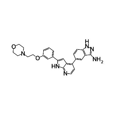 Nc1n[nH]c2ccc(-c3ccnc4[nH]c(-c5cccc(OCCN6CCOCC6)c5)cc34)cc12